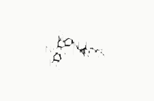 N#Cc1cnc2c(Br)cc(NCc3cn(CCC[SH](=O)=O)nn3)cc2c1Nc1ccc(F)c(Cl)c1